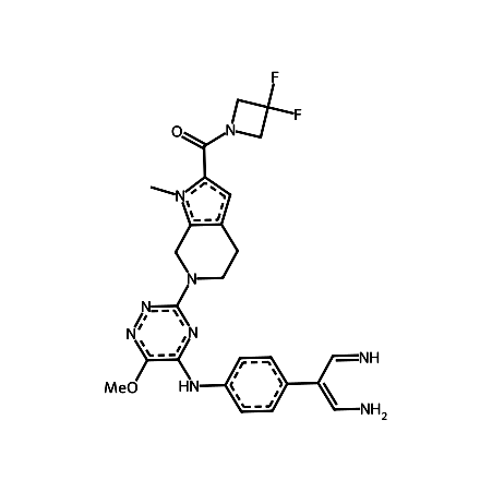 COc1nnc(N2CCc3cc(C(=O)N4CC(F)(F)C4)n(C)c3C2)nc1Nc1ccc(/C(C=N)=C/N)cc1